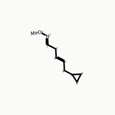 CON=CCC=CCC1[CH]C1